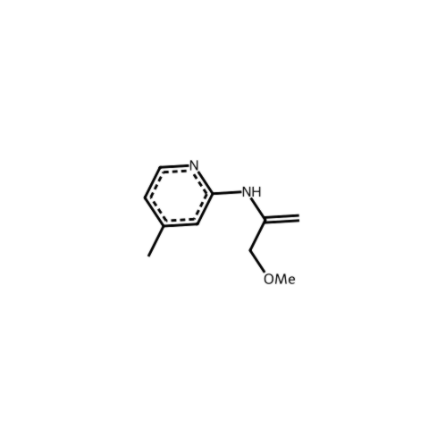 C=C(COC)Nc1cc(C)ccn1